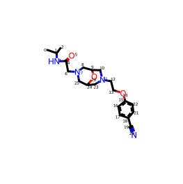 CC(C)NC(=O)CN1CC2CN(CCOc3ccc(C#N)cc3)CC(C1)O2